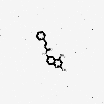 Cc1cc(N)c2cc(NC(=O)/C=C/c3ccccc3)ccc2n1